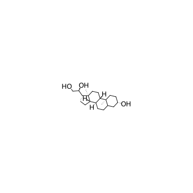 C[C@]12CC[C@H]3[C@@H](CCC4C[C@@H](O)CC[C@@]43C)[C@@H]1CC[C@@H]2[C@H](O)CO